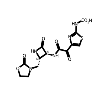 O=C(O)Nc1nc(C(=O)C(=O)N[C@@H]2C(=O)N[C@H]2CN2CCOC2=O)cs1